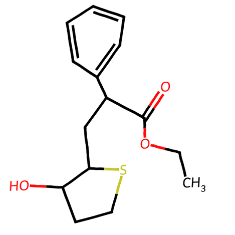 CCOC(=O)C(CC1SCCC1O)c1ccccc1